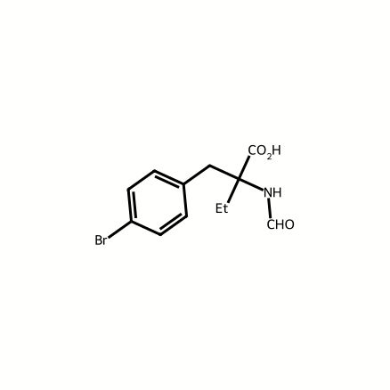 CCC(Cc1ccc(Br)cc1)(NC=O)C(=O)O